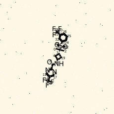 CC(C)([C@H]1C[C@@H](NC(=O)c2ncc(C(F)(F)F)cn2)C1)S(=O)(=O)c1cccc(C(F)(F)F)c1